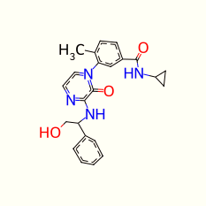 Cc1ccc(C(=O)NC2CC2)cc1-n1ccnc(NC(CO)c2ccccc2)c1=O